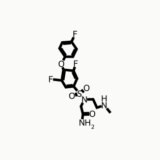 CNCCN(CC(N)=O)S(=O)(=O)c1cc(F)c(Oc2ccc(F)cc2)c(F)c1